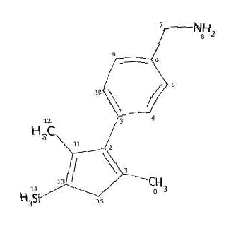 CC1=C(c2ccc(CN)cc2)C(C)=C([SiH3])C1